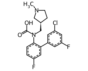 CN1CC[C@@H](CN(C(=O)O)c2ccc(F)cc2-c2cc(F)cc(Cl)c2)C1